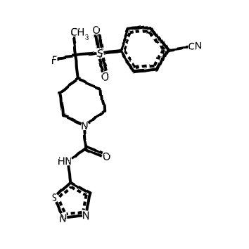 CC(F)(C1CCN(C(=O)Nc2cnns2)CC1)S(=O)(=O)c1ccc(C#N)cc1